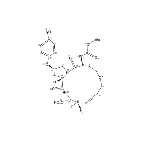 CC(C)(C)OC(=O)N[C@H]1CCCCC/C=C\[C@@H]2C[C@@]2(C(=O)O)NC(=O)[C@@H]2C[C@@H](Oc3ccc([N+](=O)[O-])cc3)CN2C1=O